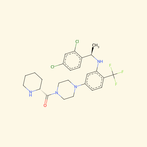 C[C@@H](Nc1cc(N2CCN(C(=O)[C@H]3CCCCN3)CC2)ccc1C(F)(F)F)c1ccc(Cl)cc1Cl